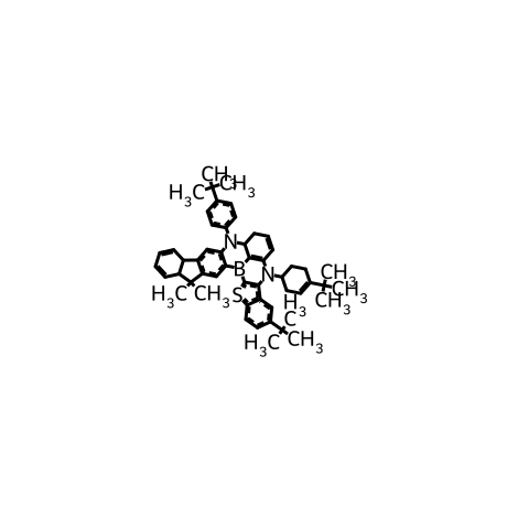 CC(C)(C)C1=CCC(N2C3=C4B(c5cc6c(cc5N(c5ccc(C(C)(C)C)cc5)C4CC=C3)C3C=CC=CC3C6(C)C)c3sc4ccc(C(C)(C)C)cc4c32)CC1